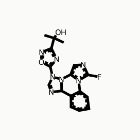 CC(C)(O)c1noc(N2C=NC3c4ccccc4-n4c(cnc4F)N32)n1